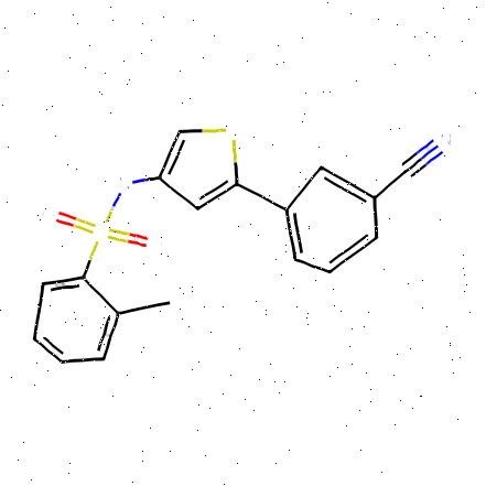 Cc1ccccc1S(=O)(=O)Nc1csc(-c2cccc(C#N)c2)c1